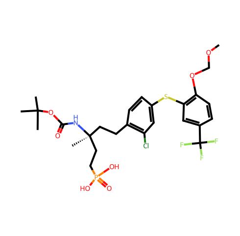 COCOc1ccc(C(F)(F)F)cc1Sc1ccc(CC[C@@](C)(CCP(=O)(O)O)NC(=O)OC(C)(C)C)c(Cl)c1